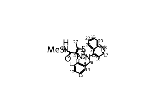 CSNC(=O)c1nc(N(Cc2ccccc2)c2ccnc3ccccc23)sc1C